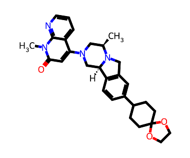 C[C@@H]1CN(c2cc(=O)n(C)c3ncccc23)C[C@@H]2c3ccc(C4CCC5(CC4)OCCO5)cc3CN12